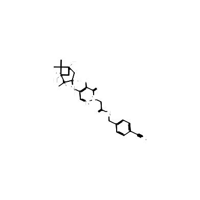 C[C@@H]1[C@H]2C[C@@H](C[C@H]1Nc1cnn(CC(=O)NCc3ccc(C#N)cc3)c(=O)c1Br)C2(C)C